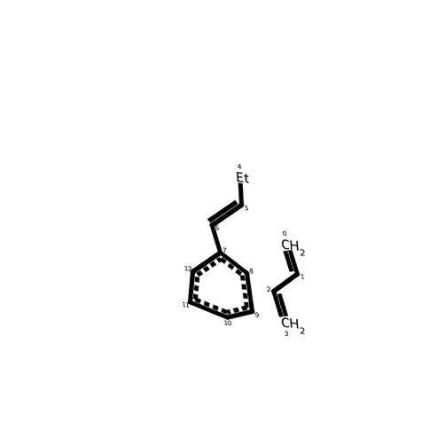 C=CC=C.CCC=Cc1ccccc1